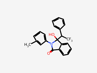 Cc1cccc(N2C(=O)c3ccccc3C2(O)C(c2ccccc2)C(F)(F)F)c1